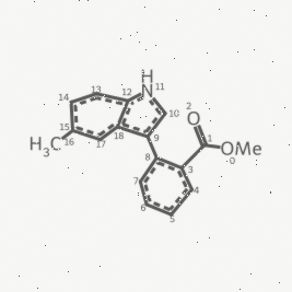 COC(=O)c1ccccc1-c1c[nH]c2ccc(C)cc12